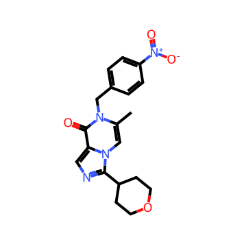 Cc1cn2c(C3CCOCC3)ncc2c(=O)n1Cc1ccc([N+](=O)[O-])cc1